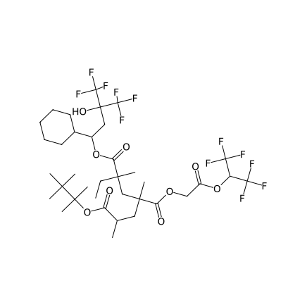 CCC(C)(CC(C)(CC(C)C(=O)OC(C)(C)C(C)(C)C)C(=O)OCC(=O)OC(C(F)(F)F)C(F)(F)F)C(=O)OC(CC(O)(C(F)(F)F)C(F)(F)F)C1CCCCC1